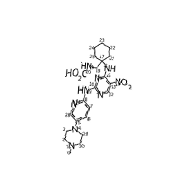 CN1CCN(c2ccc(Nc3ncc([N+](=O)[O-])c(NC4(CNC(=O)O)CCCCC4)n3)nc2)CC1